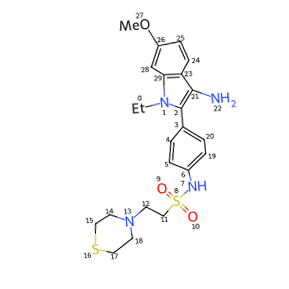 CCn1c(-c2ccc(NS(=O)(=O)CCN3CCSCC3)cc2)c(N)c2ccc(OC)cc21